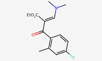 CCOC(=O)C(=CN(C)C)C(=O)c1ccc(F)cc1C